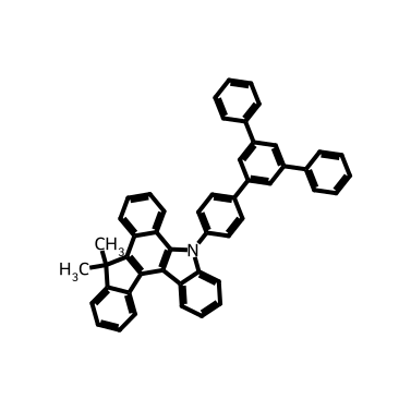 CC1(C)c2ccccc2-c2c1c1ccccc1c1c2c2ccccc2n1-c1ccc(-c2cc(-c3ccccc3)cc(-c3ccccc3)c2)cc1